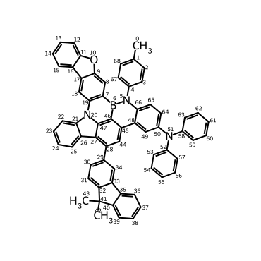 Cc1ccc(N2B3c4cc5oc6ccccc6c5cc4-n4c5ccccc5c5c(-c6ccc7c(c6)-c6ccccc6C7(C)C)cc(c3c54)-c3cc(N(c4ccccc4)c4ccccc4)ccc32)cc1